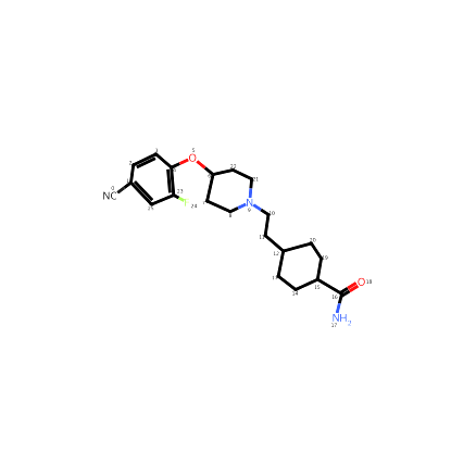 N#Cc1ccc(OC2CCN(CCC3CCC(C(N)=O)CC3)CC2)c(F)c1